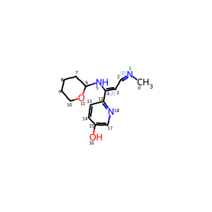 C/N=C\C=C(/NC1CCCCO1)c1ccc(O)cn1